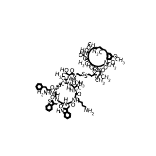 COc1cc2cc(c1Cl)N(C)C(=O)C[C@H](OC(=O)[C@H](C)N(C)C(=O)CCSSCCNC(=O)[C@@H](NC(=O)[C@@H]1CSSC[C@H](NC(=O)[C@H](N)Cc3ccccc3)C(=O)N[C@@H](Cc3csc4ccccc34)C(=O)N[C@H](Cc3c[nH]c4ccccc34)C(=O)N[C@@H](CCCCCN)C(=O)N[C@@H]([C@@H](C)O)C(=O)N1)[C@@H](C)O)[C@]1(C)O[C@H]1[C@H](C)[C@@H]1C[C@@](O)(NC(=O)O1)[C@H](OC)/C=C/C=C(\C)C2